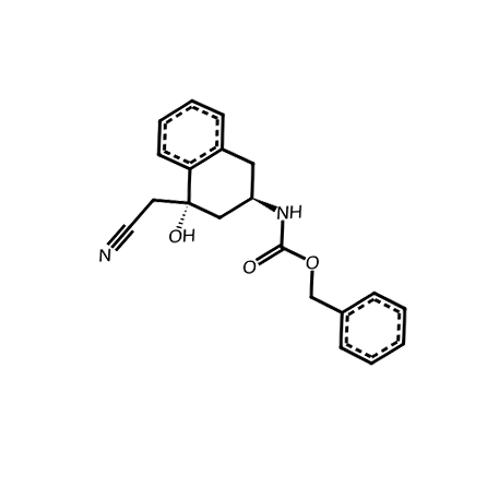 N#CC[C@]1(O)C[C@H](NC(=O)OCc2ccccc2)Cc2ccccc21